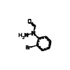 NN(C=O)c1ccccc1Br